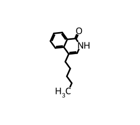 CCCCCc1c[nH]c(=O)c2ccccc12